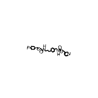 O=C(COCc1ccc(F)cc1)NCCCc1ccc(CNC(=O)OCc2cccnc2)cc1